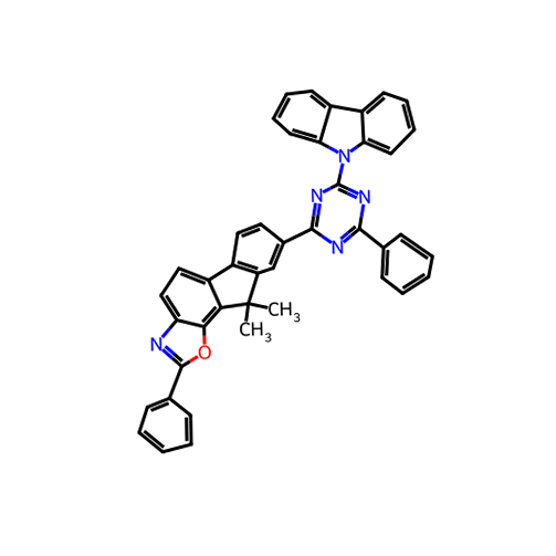 CC1(C)c2cc(-c3nc(-c4ccccc4)nc(-n4c5ccccc5c5ccccc54)n3)ccc2-c2ccc3nc(-c4ccccc4)oc3c21